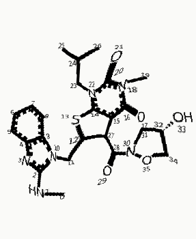 CNc1nc2ccccc2n1CC1Sc2c(c(=O)n(C)c(=O)n2CC(C)C)C1C(=O)N1C[C@H](O)CO1